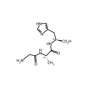 C[C@H](NC(=O)CN)C(=O)N[C@@H](Cc1c[nH]cn1)C(=O)O